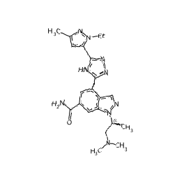 CCn1nc(C)cc1-c1nnc(-c2cc(C(N)=O)cc3c2cnn3[C@@H](C)CN(C)C)[nH]1